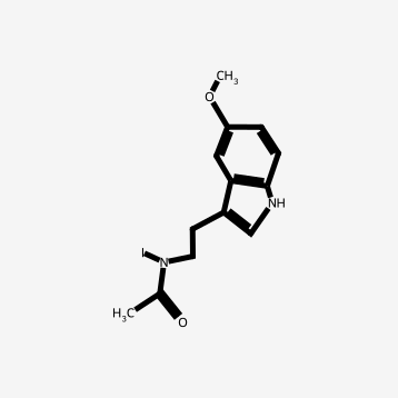 COc1ccc2[nH]cc(CCN(I)C(C)=O)c2c1